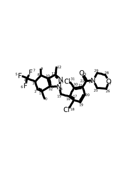 CC1=CC(C(F)(F)F)C(C)c2c(C)nn(Cc3c(Cl)ccc(C(=O)N4CCOCC4)c3Cl)c21